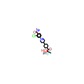 CC(C)[C@](O)(C(=O)C1CCC(C2CCN(c3ccc(C(=O)N(C)C)c(Cl)c3)CC2)CC1)C(C)(F)F